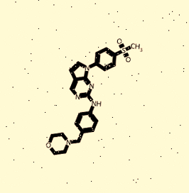 CS(=O)(=O)c1ccc(-n2ccc3cnc(Nc4ccc(CN5CCOCC5)cc4)nc32)cc1